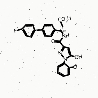 O=C(O)C[C@H](NC(=O)c1cc(O)n(-c2ccccc2Cl)n1)c1ccc(-c2ccc(F)cc2)cc1